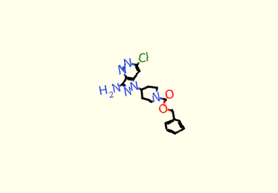 Nc1nn(C2CCN(C(=O)OCc3ccccc3)CC2)c2cc(Cl)nnc12